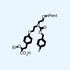 CCCCCOCCN(CCOc1ccc(CC(OCC)C(=O)O)cc1)C(=O)OCc1ccc(F)cc1